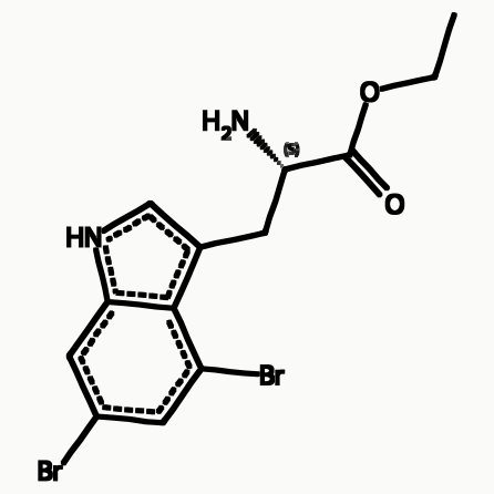 CCOC(=O)[C@@H](N)Cc1c[nH]c2cc(Br)cc(Br)c12